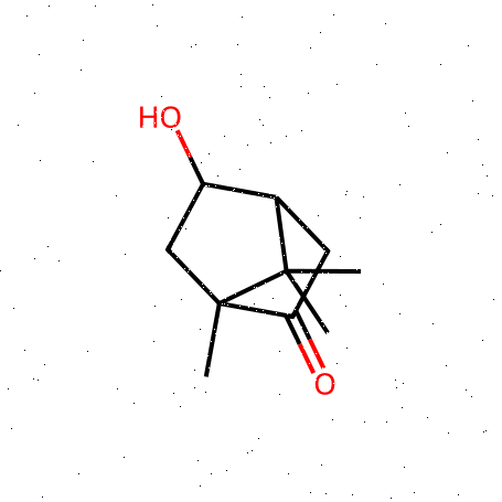 CC12CC(O)C(CC1=O)C2(C)C